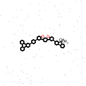 CC1(C)c2ccccc2-c2ccc(-c3ccc4oc5c(ccc6c7cc(-c8ccc(-c9ccc%10c%11ccccc%11c%11ccccc%11c%10c9)cc8)ccc7oc65)c4c3)cc21